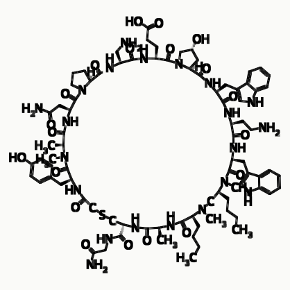 CCCC[C@H]1CN(C)[C@@H](CCCC)C(=O)N[C@@H](C)C(=O)N[C@H](C(=O)NCC(N)=O)CSCC(=O)N[C@@H](Cc2ccc(O)cc2)C(=O)N(C)[C@@H](C)C(=O)N[C@@H](CC(N)=O)C(=O)N2CCC[C@H]2C(=O)N[C@@H](CN)C(=O)N[C@@H](CCC(=O)O)C(=O)N2C[C@H](O)C[C@H]2C(=O)N[C@@H](Cc2c[nH]c3ccccc23)C(=O)N[C@@H](CCN)C(=O)N[C@@H](Cc2c[nH]c3ccccc23)C(=O)N1C